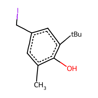 Cc1cc(CI)cc(C(C)(C)C)c1O